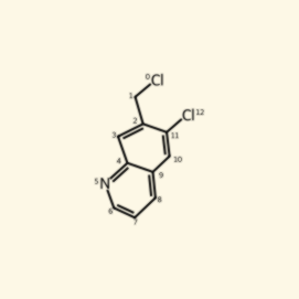 ClCc1cc2ncccc2cc1Cl